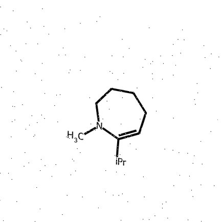 CC(C)C1=CCCCCN1C